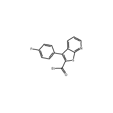 CCC(=O)c1sc2ncccc2c1-c1ccc(F)cc1